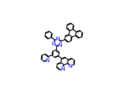 c1ccc(-c2nc(-c3cc(-c4ccccn4)cc(-c4cc5cccnc5c5ncccc45)c3)nc(-c3ccc4c5ccccc5c5ccccc5c4c3)n2)cc1